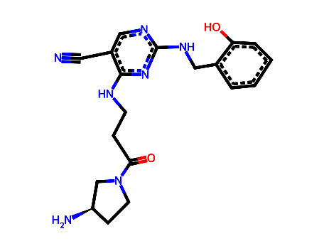 N#Cc1cnc(NCc2ccccc2O)nc1NCCC(=O)N1CC[C@@H](N)C1